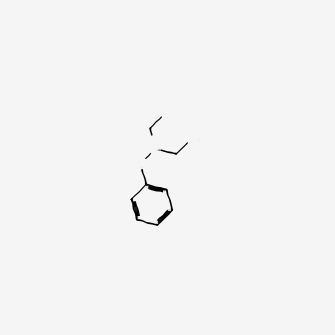 CC(C)(C)C[SiH](CC(C)(C)C)Oc1ccccc1